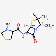 CC(=O)N1CSCC1C(=O)N[C@@H]1C(=O)N2[C@@H]1SC(C)(C)[C@@H]2C(=O)O